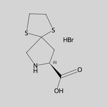 Br.O=C(O)[C@@H]1CC2(CN1)SCCS2